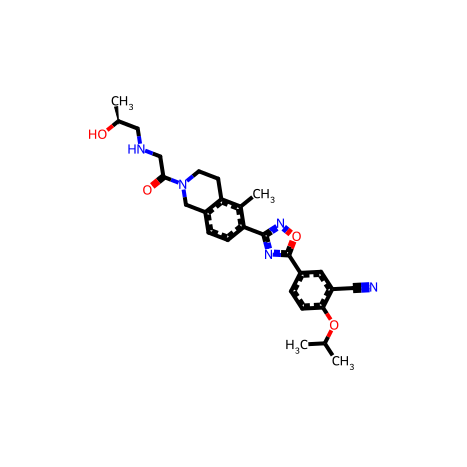 Cc1c(-c2noc(-c3ccc(OC(C)C)c(C#N)c3)n2)ccc2c1CCN(C(=O)CNC[C@H](C)O)C2